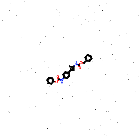 O=C(NC12CC(c3ccc(NC(=O)Oc4ccccc4)cc3)(C1)C2)OCc1ccccc1